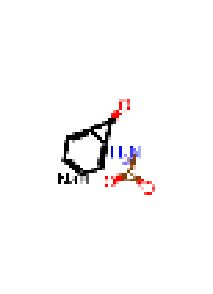 N[SH](=O)=O.O=c1c2ccccc12.[NaH]